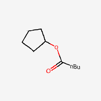 CCCCC(=O)OC1C[CH]CC1